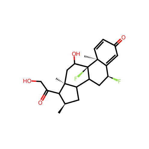 C[C@@H]1CC2C3C[C@H](F)C4=CC(=O)C=C[C@]4(C)[C@@]3(F)C(O)C[C@]2(C)C1C(=O)CO